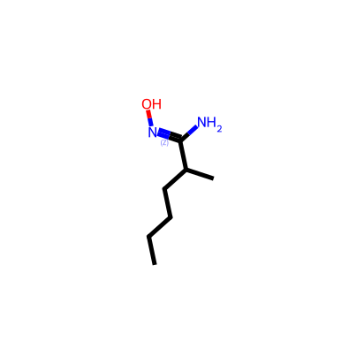 CCCCC(C)/C(N)=N/O